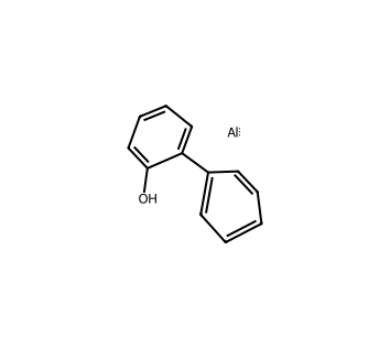 Oc1ccccc1-c1ccccc1.[Al]